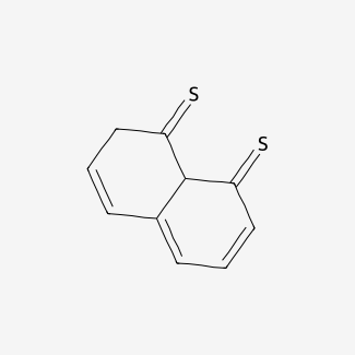 S=C1C=CC=C2C=CCC(=S)C12